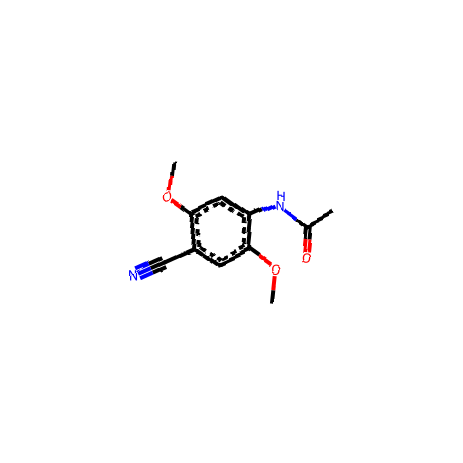 COc1cc(NC(C)=O)c(OC)cc1C#N